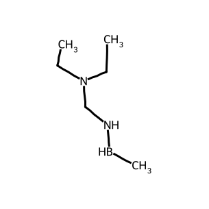 CBNCN(CC)CC